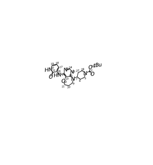 CC(C)(C)OC(=O)N1CCC(N2CCCOc3c(Nc4ccc[nH]c4=O)ncnc32)CC1